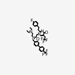 CCN(CC)CCN(Cc1ccc(-c2ccc(C(F)(F)F)cc2)cc1)C(=O)Cn1cc(CC(F)(F)F)c(=O)nc1CCc1ccc(F)cc1